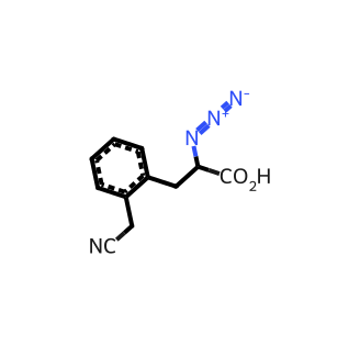 N#CCc1ccccc1CC(N=[N+]=[N-])C(=O)O